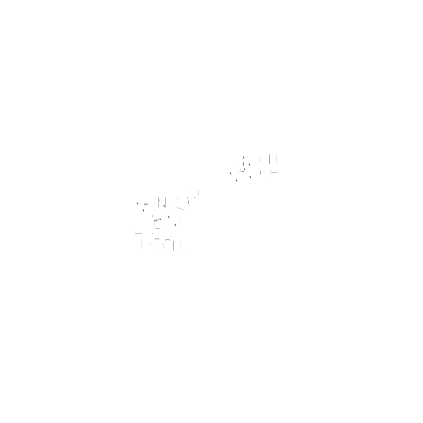 CC(C)c1noc(N2CCC(CCCOc3ccc([C@H](NC(=O)OC(C)(C)C)C(=O)N4CCCC4C#N)cc3)CC2)n1